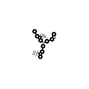 CC1(C)c2ccccc2-c2ccc(-c3ccc(N(c4ccc(-c5ccc6sc7ccccc7c6c5)cc4)c4ccc5c(c4)C(C)(C)c4cc(-c6ccccc6)ccc4-5)cc3)cc21